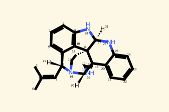 CC(C)=C[C@@H]1c2cccc3c2[C@]24CCN1[C@H]1NCC[C@]12c1ccccc1N[C@@H]4N3